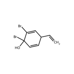 C=CC1C=CC(O)(Br)C(Br)=C1